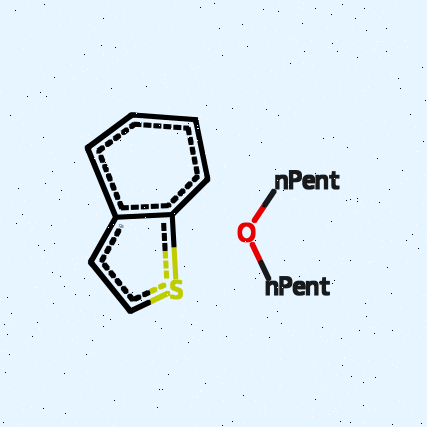 CCCCCOCCCCC.c1ccc2sccc2c1